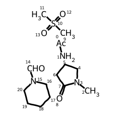 CC(N)=O.CN1CCCC1=O.CS(C)(=O)=O.O=CN1CCCCC1